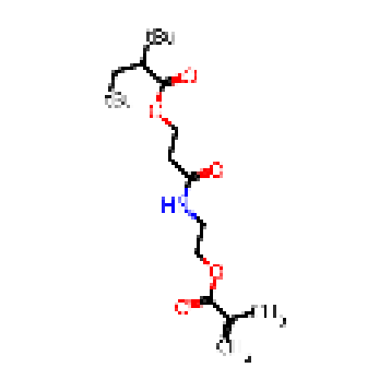 C=C(C)C(=O)OCCNC(=O)CCOC(=O)C(CC(C)(C)C)C(C)(C)C